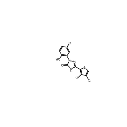 O=c1[nH]c(-c2scc(Cl)c2Cl)nn1-c1cc(Cl)ccc1O